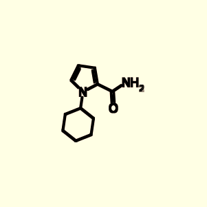 NC(=O)c1cccn1C1CCCCC1